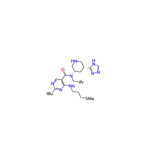 CSCCCNc1nc(C(C)(C)C)ncc1C(=O)N(CC(C)C)[C@@H]1CNC[C@H](c2nnc[nH]2)C1